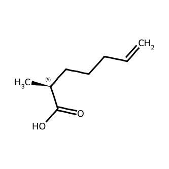 C=CCCC[C@H](C)C(=O)O